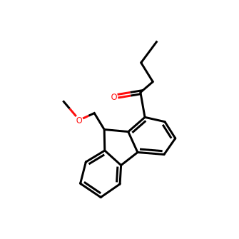 CCCC(=O)c1cccc2c1C(COC)c1ccccc1-2